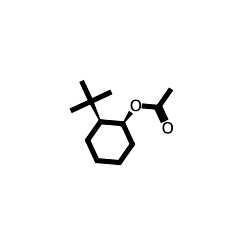 CC(=O)O[C@H]1CCCC[C@H]1C(C)(C)C